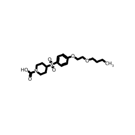 CCCCOCCOc1ccc(S(=O)(=O)C2CCN(C(=O)O)CC2)cc1